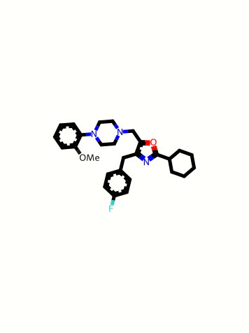 COc1ccccc1N1CCN(Cc2oc(C3CCCCC3)nc2Cc2ccc(F)cc2)CC1